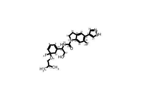 CC(C)COC1(F)C=CC=C(C(CO)NC(=O)N2CCc3cc(-c4cn[nH]c4)c(F)cc32)C1